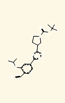 CC(C)Nc1cc(-c2nc(C3CCN(C(=O)OC(C)(C)C)C3)no2)ccc1C=N